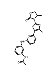 CC(=O)Nc1cccc(Nc2nccc(-c3sc(N4C(=O)OCC4C)nc3C)n2)c1